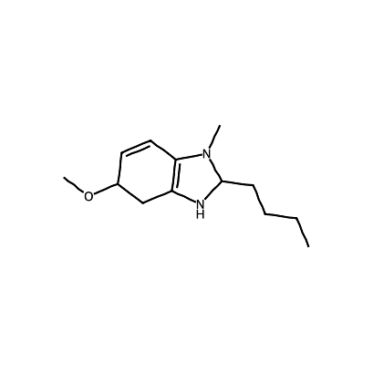 CCCCC1NC2=C(C=CC(OC)C2)N1C